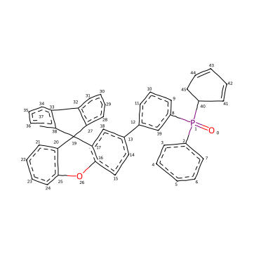 O=P(c1ccccc1)(c1cccc(-c2ccc3c(c2)C2(c4ccccc4O3)c3ccccc3-c3ccccc32)c1)C1C=CC=CC1